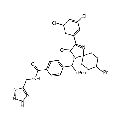 CCCCCC(c1ccc(C(=O)NCc2nn[nH]n2)cc1)N1C(=O)C(C2=CC(Cl)=CC(Cl)C2)=NC12CCC(C(C)C)CC2